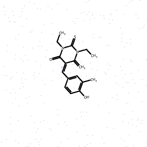 C=c1/c(=C\c2ccc(O)c(C)c2)c(=O)n(CC)c(=S)n1CC